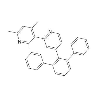 Cc1cc(C)c(-c2cc(-c3c(-c4ccccc4)cccc3-c3ccccc3)ccn2)c(C)n1